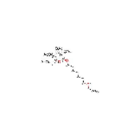 C#CCOCCCCCCCO[C@H]1O[C@H](COC(C)=O)[C@@H](OC(C)=O)[C@H](OC(C)=O)[C@@H]1OC(C)=O